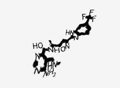 CNCc1c(N)ncnc1C(O)N[C@@H](C)c1cc(-c2nc3ccc(C(F)(F)F)cc3[nH]2)no1